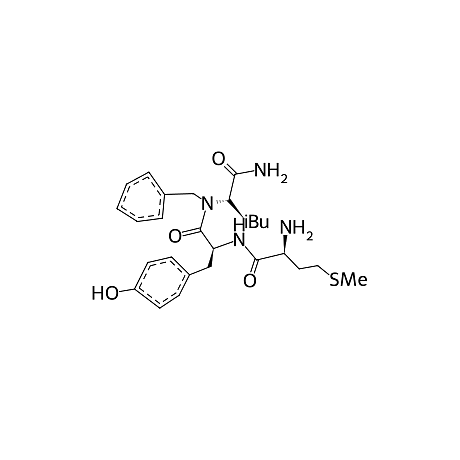 CC[C@H](C)[C@@H](C(N)=O)N(Cc1ccccc1)C(=O)[C@H](Cc1ccc(O)cc1)NC(=O)[C@@H](N)CCSC